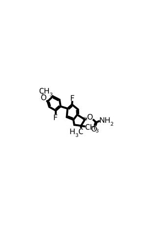 COc1ccc(-c2cc3c(cc2F)[C@H](OC(N)=O)C(C)(C)C3)c(F)c1